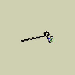 CCCCCCCCCCCCc1ccccc1C[N+](Cl)(CC)CC